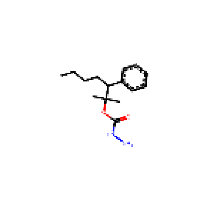 CCCCC(c1ccccc1)C(C)(C)OC(=O)NN